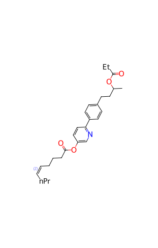 CCC/C=C\CCCC(=O)Oc1ccc(-c2ccc(CCC(C)OC(=O)CC)cc2)nc1